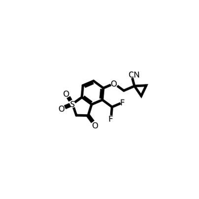 N#CC1(COc2ccc3c(c2C(F)F)C(=O)CS3(=O)=O)CC1